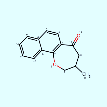 CC1COc2c(ccc3ccccc23)C(=O)C1